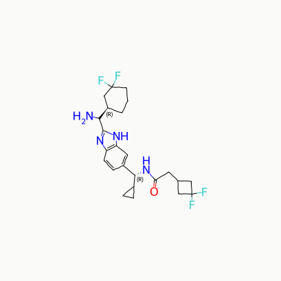 NC(c1nc2ccc([C@H](NC(=O)CC3CC(F)(F)C3)C3CC3)cc2[nH]1)[C@@H]1CCCC(F)(F)C1